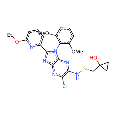 CCOc1cccc(-c2nc3nc(Cl)c(NSCC4(O)CC4)nc3n2-c2c(OC)cccc2OC)n1